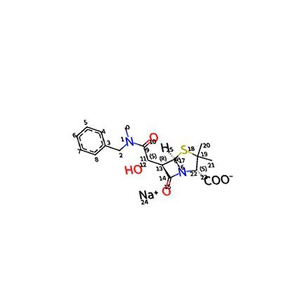 CN(Cc1ccccc1)C(=O)[C@@H](O)[C@@H]1C(=O)N2[C@@H]1SC(C)(C)[C@@H]2C(=O)[O-].[Na+]